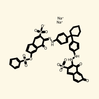 O=C1C=CC2=CC(S(=O)(=O)[O-])=C(NNc3ccc(C4(c5ccc(N/N=C6\C(=O)c7cc(OS(=O)(=O)c8ccccc8)ccc7C=C6S(=O)(=O)[O-])cc5)CCCCC4)cc3)C(=O)C2=C1.[Na+].[Na+]